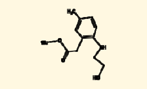 Cc1ccc(NCCO)c(CC(=O)OC(C)(C)C)c1